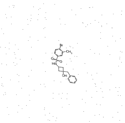 Cc1cc(S(=O)(=O)NC2CC(O)(Cc3ccccc3)C2)ccc1Br